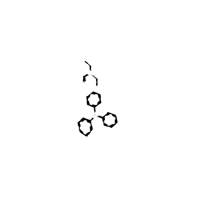 CCN(C=O)CC.c1cc[c]([Bi]([c]2ccccc2)[c]2ccccc2)cc1